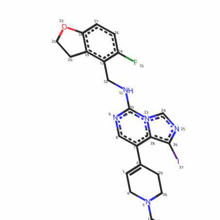 CCC(=O)N1CC=C(c2cnc(NCc3c(F)ccc4c3CCO4)n3cnc(I)c23)CC1